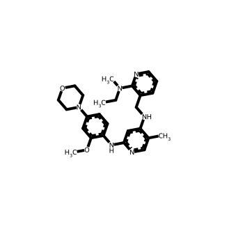 CCN(C)c1ncccc1CNc1cc(Nc2ccc(N3CCOCC3)cc2OC)ncc1C